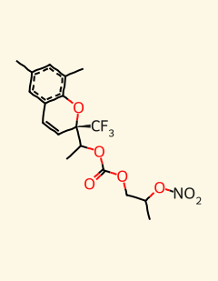 Cc1cc(C)c2c(c1)C=C[C@](C(C)OC(=O)OCC(C)O[N+](=O)[O-])(C(F)(F)F)O2